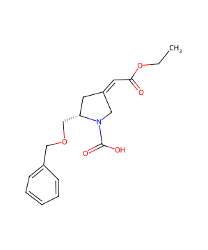 CCOC(=O)C=C1C[C@@H](COCc2ccccc2)N(C(=O)O)C1